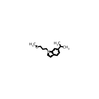 COCCCn1ccc2ccc(C(C)C)cc21